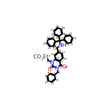 CCOC(=O)Cn1c(=O)n(Cc2ccccc2)c(=O)c2ccc(C(=O)NC(c3ccccc3)(c3ccccc3)c3ccccc3)cc21